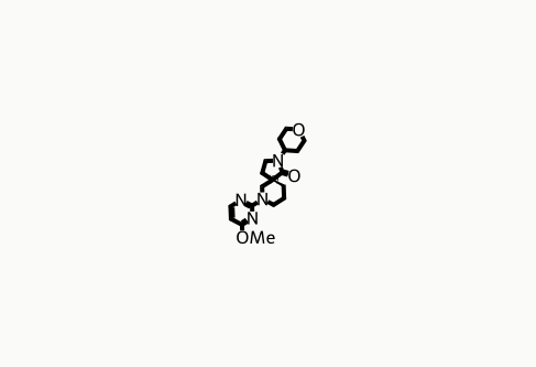 COc1ccnc(N2CCC[C@]3(CCN(C4CCOCC4)C3=O)C2)n1